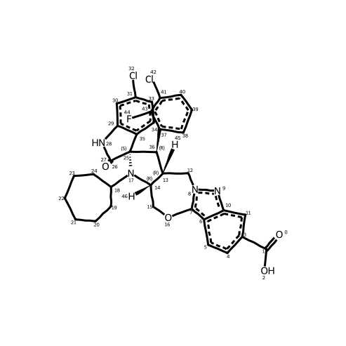 O=C(O)c1ccc2c3n(nc2c1)C[C@@H]1[C@H](CO3)N(C2CCCCCC2)[C@@]2(C(=O)Nc3cc(Cl)ccc32)[C@H]1c1cccc(Cl)c1F